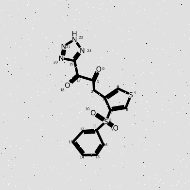 O=C(Cc1cscc1S(=O)(=O)c1ccccc1)C(=O)c1nn[nH]n1